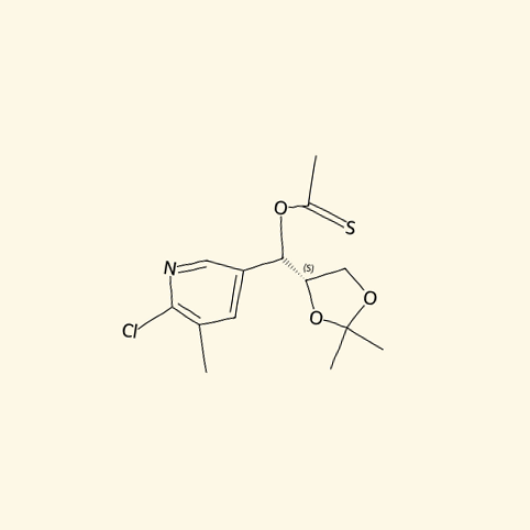 CC(=S)OC(c1cnc(Cl)c(C)c1)[C@@H]1COC(C)(C)O1